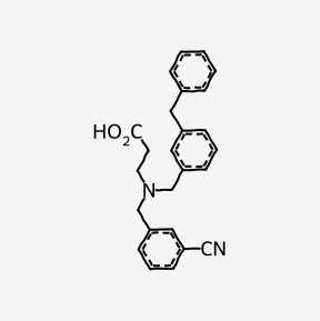 N#Cc1cccc(CN(CCC(=O)O)Cc2cccc(Cc3ccccc3)c2)c1